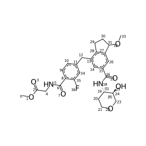 COC(=O)CNC(=O)c1ccc(Cc2cc(C(=O)N[C@H]3CCOC[C@@H]3O)cc3c2CCC3OC)cc1F